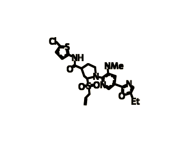 C=CCS(=O)(=O)C1CC(C(=O)Nc2ccc(Cl)s2)CCN1c1ncc(-c2ncc(CC)o2)cc1NC